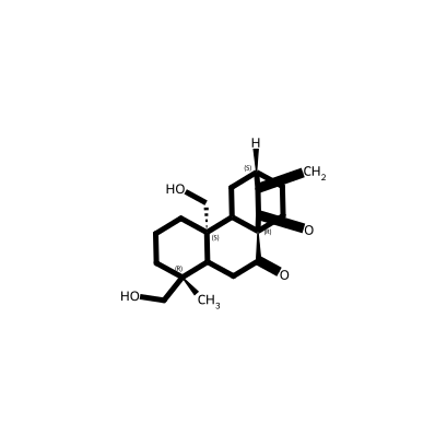 C=C1C(=O)[C@]23CC[C@H]1CC2[C@]1(CO)CCC[C@@](C)(CO)C1CC3=O